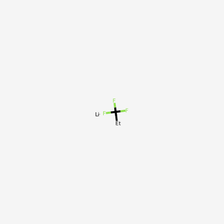 CCC(F)(F)F.[Li]